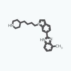 Cc1cccc2[nH]c(-c3ccc4ccn(CCCCC5CCNCC5)c4c3)nc12